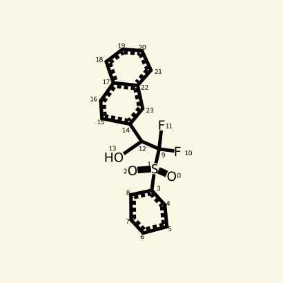 O=S(=O)(c1ccccc1)C(F)(F)C(O)c1ccc2ccccc2c1